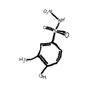 Nc1cc(S(=O)(=O)N[N+](=O)[O-])ccc1O